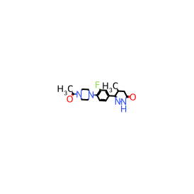 CC(=O)N1CCN(c2ccc(C3=NNC(=O)CC3C)cc2F)CC1